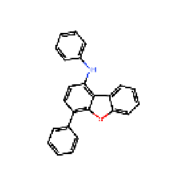 c1ccc(Nc2ccc(-c3ccccc3)c3oc4ccccc4c23)cc1